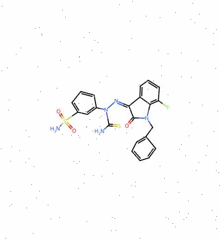 NC(=S)N(/N=C1\C(=O)N(Cc2ccccc2)c2c(F)cccc21)c1cccc(S(N)(=O)=O)c1